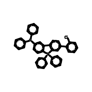 Clc1ccccc1-c1ccc2c(c1)[Si](c1ccccc1)(c1ccccc1)c1ccc(N(c3ccccc3)c3ccccc3)cc1-2